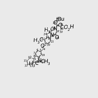 Cc1c(OCc2ccc(C3CCCCC3)c(N(C)C)c2)ccc2c1CCN2C(=O)[C@@H](CC(=O)O)N(C)C(=O)OC(C)(C)C